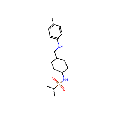 Cc1ccc(NCC2CCC(NS(=O)(=O)C(C)C)CC2)cc1